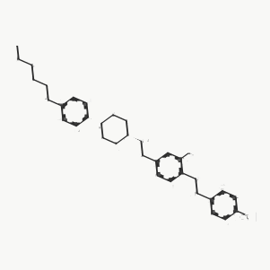 CCCCCCc1ccc([C@H]2CC[C@H](CCc3ccc(CCc4ccc(Cl)cc4)c(F)c3)CC2)cc1